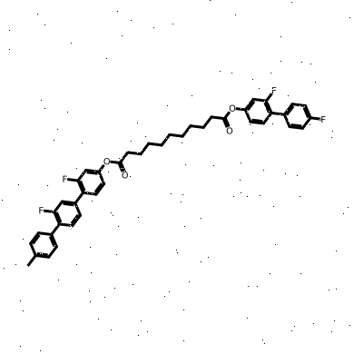 Cc1ccc(-c2ccc(-c3ccc(OC(=O)CCCCCCCCCC(=O)Oc4ccc(-c5ccc(F)cc5)c(F)c4)cc3F)cc2F)cc1